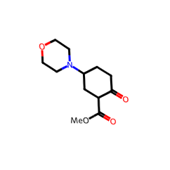 COC(=O)C1CC(N2CCOCC2)CCC1=O